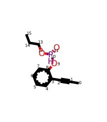 CC#Cc1ccccc1O[PH](=O)OCCC